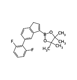 CC1(C)OB(C2=CCc3ccc(-c4c(F)cccc4F)cc32)OC1(C)C